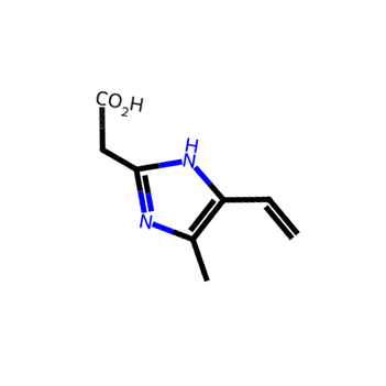 C=Cc1[nH]c(CC(=O)O)nc1C